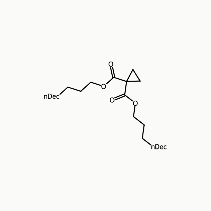 CCCCCCCCCCCCCOC(=O)C1(C(=O)OCCCCCCCCCCCCC)CC1